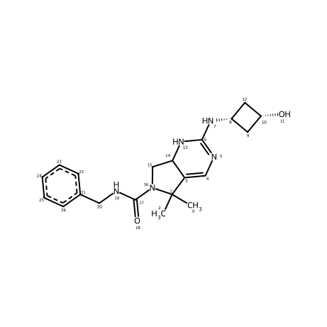 CC1(C)C2=CN=C(N[C@H]3C[C@@H](O)C3)NC2CN1C(=O)NCc1ccccc1